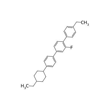 CCc1ccc(-c2ccc(-c3ccc(C4CCC(CC)CC4)cc3)cc2F)cc1